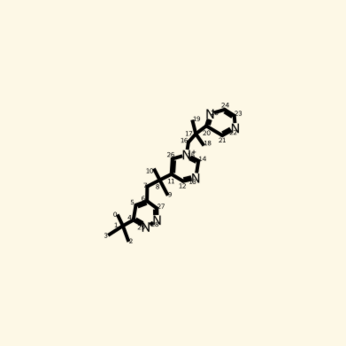 CC(C)(C)c1cc(CC(C)(C)c2cnc[n+](CC(C)(C)c3cnccn3)c2)cnn1